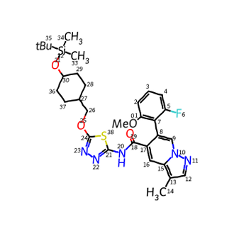 COc1cccc(F)c1-c1cn2ncc(C)c2cc1C(=O)Nc1nnc(OCC2CCC(O[Si](C)(C)C(C)(C)C)CC2)s1